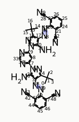 CC(C)(C)c1nn(-c2cc(-n3nc(C(C)(C)C)c(/N=N/c4c(C#N)cccc4C#N)c3N)ncn2)c(N)c1/N=N/c1c(C#N)cccc1C#N